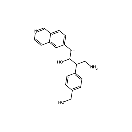 NCC(c1ccc(CO)cc1)C(O)Nc1ccc2cnccc2c1